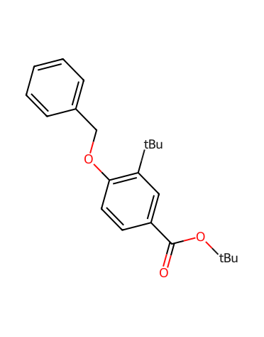 CC(C)(C)OC(=O)c1ccc(OCc2ccccc2)c(C(C)(C)C)c1